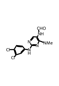 CNc1nc(Nc2ccc(Cl)c(Cl)c2)ncc1NC=O